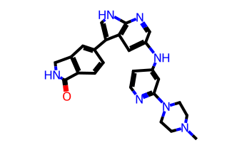 CN1CCN(c2cc(Nc3cnc4[nH]cc(-c5ccc6c(c5)CNC6=O)c4c3)ccn2)CC1